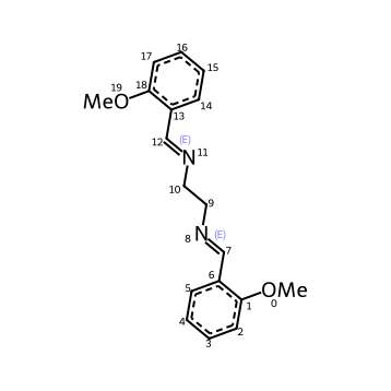 COc1ccccc1/C=N/CC/N=C/c1ccccc1OC